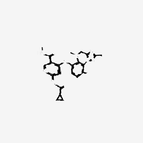 CNC(=O)c1cnc(NC(=O)C2CC2)cc1Nc1ccc(F)c2c1N(C)Cc1nc(C)nn1-2